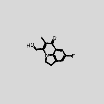 O=c1c(I)c(CO)n2c3c(cc(F)cc13)CC2